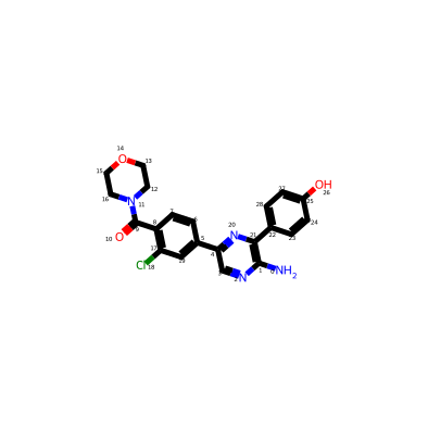 Nc1ncc(-c2ccc(C(=O)N3CCOCC3)c(Cl)c2)nc1-c1ccc(O)cc1